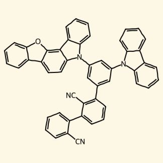 N#Cc1ccccc1-c1cccc(-c2cc(-n3c4ccccc4c4ccccc43)cc(-n3c4ccccc4c4c5oc6ccccc6c5ccc43)c2)c1C#N